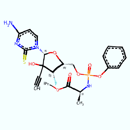 C#CC1(O)[C@@H](F)[C@@H](COP(=O)(N[C@@H](C)C(=O)OC(C)C)Oc2ccccc2)O[C@H]1n1ccc(N)nc1=S